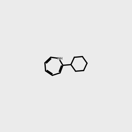 C1=CC=C(C2CCCCC2)NC=C1